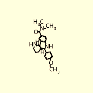 CCOc1ccc(C2Nc3ccc(C(=O)N(CC)CC)cc3[C@H]3NCCC[C@@H]23)cc1